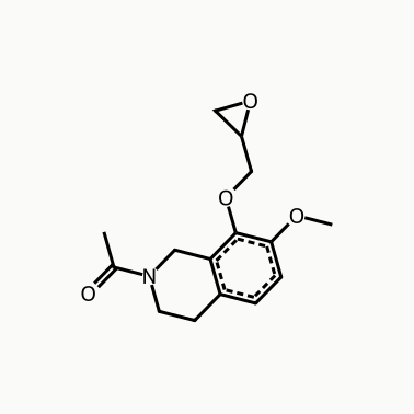 COc1ccc2c(c1OCC1CO1)CN(C(C)=O)CC2